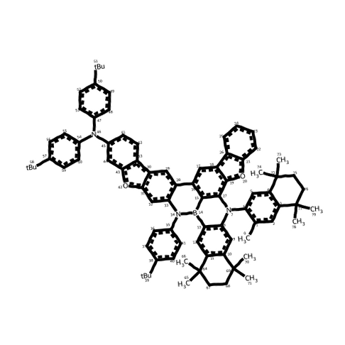 Cc1cc2c(cc1N1c3cc4c(cc3B3c5c(cc6c(oc7ccccc76)c51)-c1cc5c(cc1N3c1ccc(C(C)(C)C)cc1)oc1cc(N(c3ccc(C(C)(C)C)cc3)c3ccc(C(C)(C)C)cc3)ccc15)C(C)(C)CCC4(C)C)C(C)(C)CCC2(C)C